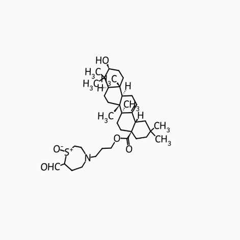 CC1(C)CC[C@]2(C(=O)OCCCN3CCC(C=O)[S+]([O-])CC3)CC[C@]3(C)C(=CC[C@@H]4[C@@]5(C)CC[C@H](O)C(C)(C)[C@@H]5CC[C@]43C)[C@@H]2C1